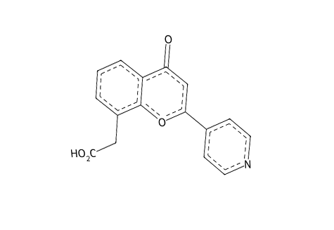 O=C(O)Cc1cccc2c(=O)cc(-c3ccncc3)oc12